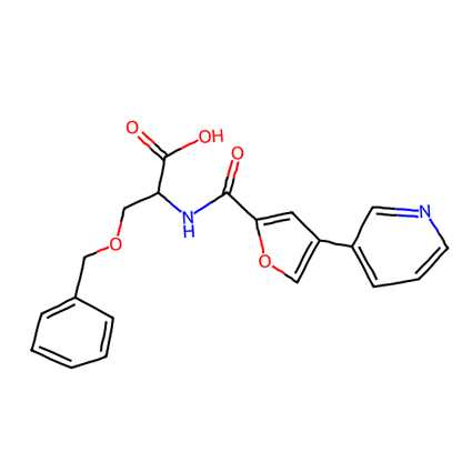 O=C(NC(COCc1ccccc1)C(=O)O)c1cc(-c2cccnc2)co1